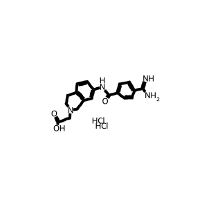 Cl.Cl.N=C(N)c1ccc(C(=O)Nc2ccc3c(c2)CN(CC(=O)O)CC3)cc1